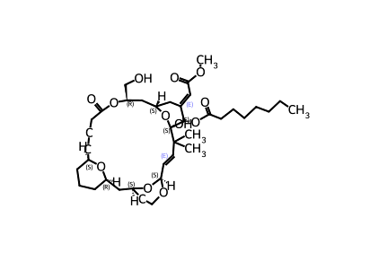 CCCCCCCC(=O)O[C@H]1/C(=C/C(=O)OC)C[C@H]2C[C@H](CO)OC(=O)CCC[C@@H]3CCC[C@H](C[C@@H]4CCO[C@H](/C=C/C(C)(C)[C@]1(O)O2)O4)O3